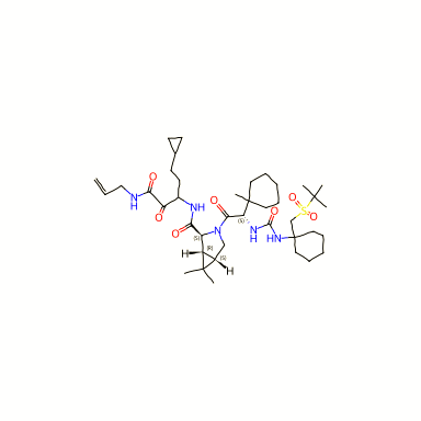 C=CCNC(=O)C(=O)C(CCC1CC1)NC(=O)[C@@H]1[C@@H]2[C@H](CN1C(=O)[C@@H](NC(=O)NC1(CS(=O)(=O)C(C)(C)C)CCCCC1)C1(C)CCCCC1)C2(C)C